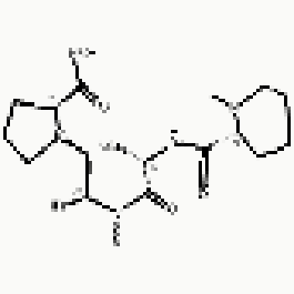 CNC(=O)[C@@H]1CCCN1C[C@H](C(C)C)N(C)C(=O)[C@@H](NC(=O)[C@H]1CCCCN1C)C(C)(C)C